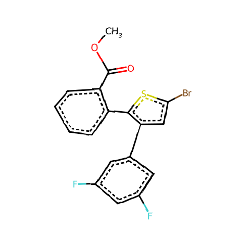 COC(=O)c1ccccc1-c1sc(Br)cc1-c1cc(F)cc(F)c1